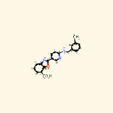 Cc1cccc(CNc2ccc(-c3nc4cccc(C(=O)O)c4o3)cn2)c1